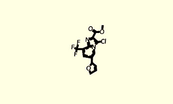 COC(=O)c1nc2c(C(F)(F)F)cc(C3C=CCO3)cn2c1Cl